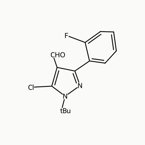 CC(C)(C)n1nc(-c2ccccc2F)c(C=O)c1Cl